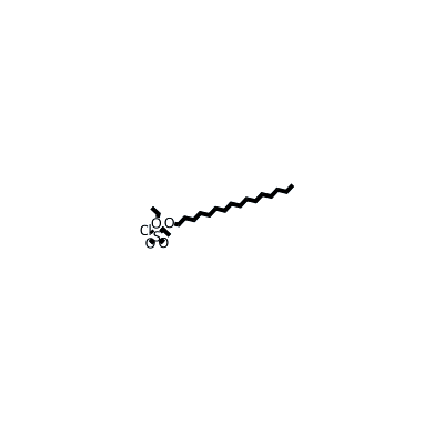 CCCCCCCCCCCCCCCCOC(C)(OCC)S(=O)(=O)Cl